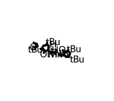 C1CCOC1.CC(C)(C)c1cc(C[NH][Mn][NH]Cc2cc(C(C)(C)C)cc(C(C)(C)C)c2O)c(O)c(C(C)(C)C)c1